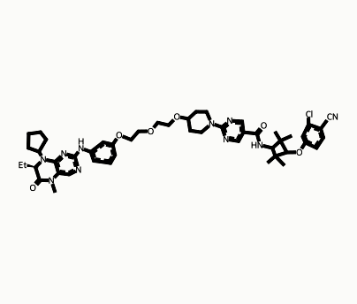 CC[C@@H]1C(=O)N(C)c2cnc(Nc3cccc(OCCOCCOC4CCN(c5ncc(C(=O)NC6C(C)(C)C(Oc7ccc(C#N)c(Cl)c7)C6(C)C)cn5)CC4)c3)nc2N1C1CCCC1